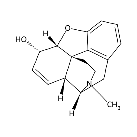 CN1CC[C@]23c4c5cccc4O[C@H]2[C@@H](O)C=C[C@H]3[C@H]1C5